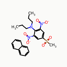 CCCN(CCC)c1c([N+](=O)[O-])cc(S(C)(=O)=O)cc1[N+](=O)[O-].c1ccc2ccccc2c1